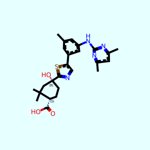 Cc1cc(Nc2nc(C)cc(C)n2)cc(-c2cnc([C@@]3(O)CC[C@H](C(=O)O)C(C)(C)C3)s2)c1